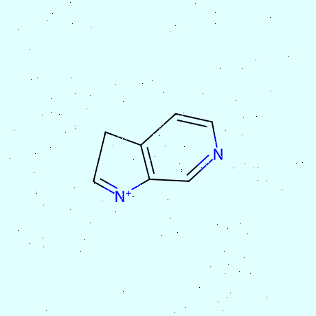 C1=[N+]c2cnccc2C1